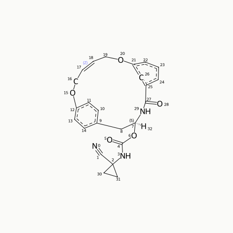 N#CC1(NC(=O)O[C@H]2Cc3ccc(cc3)OC/C=C\COc3cccc(c3)C(=O)N2)CC1